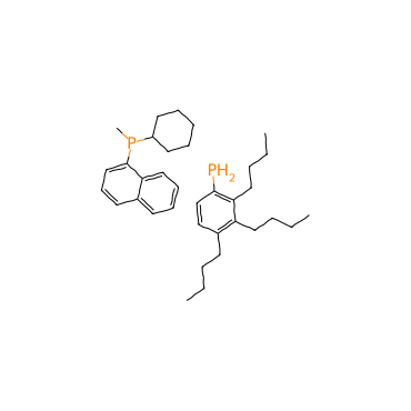 CCCCc1ccc(P)c(CCCC)c1CCCC.CP(c1cccc2ccccc12)C1CCCCC1